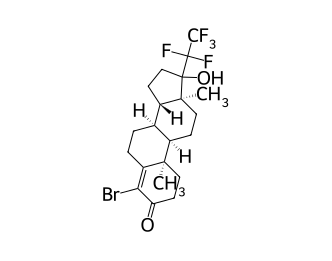 C[C@]12CCC(=O)C(Br)=C1CC[C@@H]1[C@H]2CC[C@@]2(C)[C@H]1CCC2(O)C(F)(F)C(F)(F)F